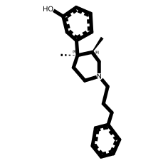 C[C@H]1CN(CCCc2ccccc2)CC[C@@]1(C)c1cccc(O)c1